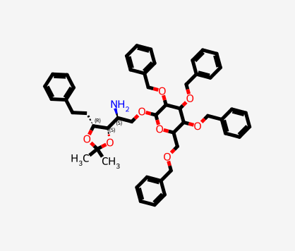 CC1(C)O[C@@H]([C@@H](N)COC2OC(COCc3ccccc3)C(OCc3ccccc3)C(OCc3ccccc3)C2OCc2ccccc2)[C@@H](CCc2ccccc2)O1